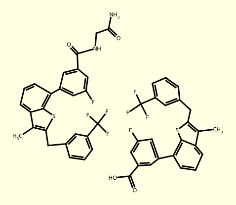 Cc1c(Cc2cccc(C(F)(F)F)c2)sc2c(-c3cc(F)cc(C(=O)NCC(N)=O)c3)cccc12.Cc1c(Cc2cccc(C(F)(F)F)c2)sc2c(-c3cc(F)cc(C(=O)O)c3)cccc12